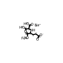 O=C([O-])CCC(NC(C(=O)O)C(=O)O)C(=O)[O][Fe].[Na+]